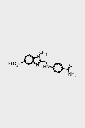 CCOC(=O)c1ccc2c(c1)nc(CNc1ccc(C(N)=O)cc1)n2C